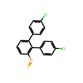 S=Pc1cccc(-c2ccc(Cl)cc2)c1-c1ccc(Cl)cc1